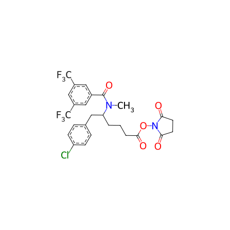 CN(C(=O)c1cc(C(F)(F)F)cc(C(F)(F)F)c1)C(CCCC(=O)ON1C(=O)CCC1=O)Cc1ccc(Cl)cc1